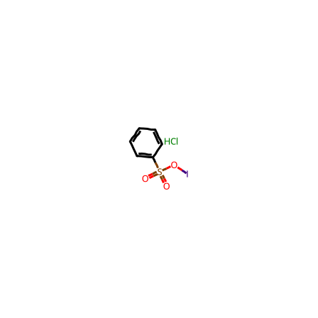 Cl.O=S(=O)(OI)c1ccccc1